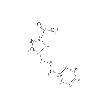 O=C(O)C1=NOC(CCOc2ccccc2)C1